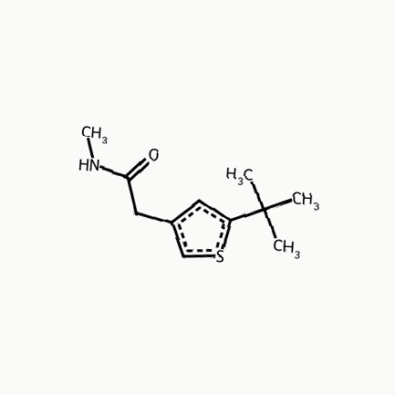 CNC(=O)Cc1csc(C(C)(C)C)c1